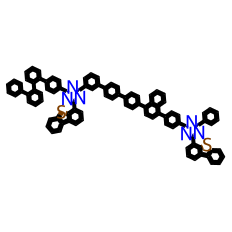 c1ccc(-c2nc(-c3ccc(-c4ccc(-c5ccc(-c6ccc(-c7cccc(-c8nc(-c9ccc(-c%10ccccc%10-c%10ccccc%10-c%10ccccc%10)cc9)nc(-c9cccc%10c9sc9ccccc9%10)n8)c7)cc6)cc5)c5ccccc45)cc3)nc(-c3cccc4c3sc3ccccc34)n2)cc1